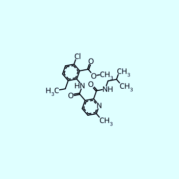 CCc1ccc(Cl)c(C(=O)OC)c1NC(=O)c1ccc(C)nc1C(=O)NCC(C)C